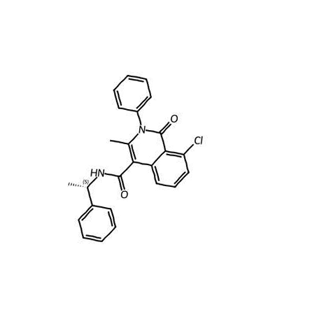 Cc1c(C(=O)N[C@@H](C)c2ccccc2)c2cccc(Cl)c2c(=O)n1-c1ccccc1